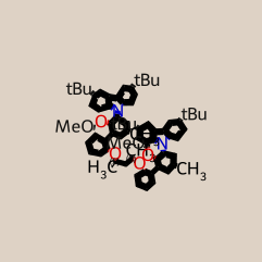 COCOc1c(-c2ccccc2O[C@@H](C)C[C@H](C)Oc2ccccc2-c2cc(C)cc(-n3c4ccc(C(C)(C)C)cc4c4cc(C(C)(C)C)ccc43)c2OCOC)cc(C)cc1-n1c2ccc(C(C)(C)C)cc2c2cc(C(C)(C)C)ccc21